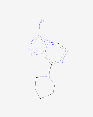 Nc1nnc2c(N3CCCCC3)nccn12